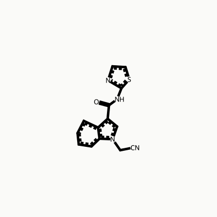 N#CCn1cc(C(=O)Nc2nccs2)c2ccccc21